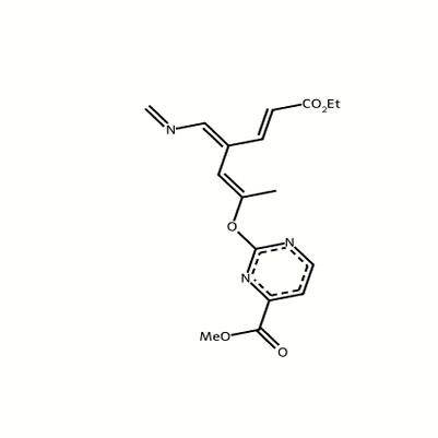 C=N/C=C(/C=C/C(=O)OCC)\C=C(/C)Oc1nccc(C(=O)OC)n1